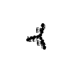 CCC1(CC)c2cc(-c3ccc(N(c4ccc(-c5ccc6c(c5)C(CC)(CC)c5cc(-c7nc8ccccc8s7)ccc5-6)cc4)c4ccc(-c5ccc6c(c5)C(CC)(CC)c5cc(-c7nc8ccccc8s7)ccc5-6)cc4)cc3)ccc2-c2ccc(-c3nc4ccccc4s3)cc21